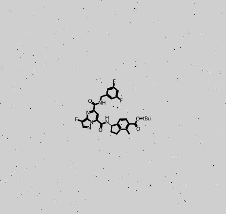 Cc1c(C(=O)OC(C)(C)C)ccc2c1CC[C@@H]2NC(=O)c1cc(C(=O)NCc2cc(F)cc(F)c2)nc2c(F)cnn12